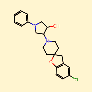 OC1CN(c2ccccc2)CC1N1CCC2(CC1)Cc1cc(Cl)ccc1O2